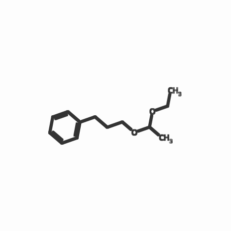 CCOC(C)OCCCc1ccccc1